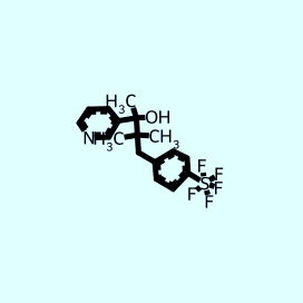 CC(C)(Cc1ccc(S(F)(F)(F)(F)F)cc1)C(C)(O)c1cccnc1